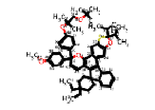 CCC1(CC)CCC2(CC1)c1ccccc1-c1c2c2c(c3cc4c(cc13)OC(C(C)C)(C(C)C)S4)OC(c1ccc(OC)cc1)(c1ccc(OC(C)(C)COC(C)(C)C)cc1)C=C2